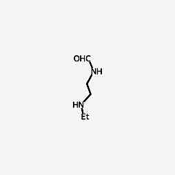 CCNCCNC=O